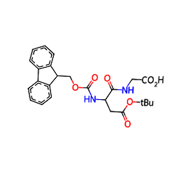 CC(C)(C)OC(=O)CC(NC(=O)OCC1c2ccccc2-c2ccccc21)C(=O)NCC(=O)O